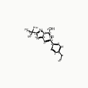 Oc1nc(-c2ccc(CF)cc2)cc2nc(C(F)(F)F)nn12